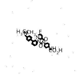 CN(C)Cc1ccc(-c2cccc(-n3c(=O)n([C@H]4CC[C@@H](NC(=O)O)CC4)c(=O)c4cc(F)cnc43)c2)cc1